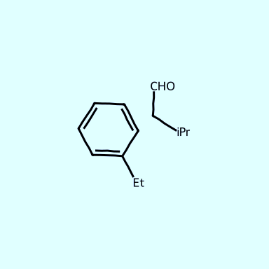 CC(C)CC=O.CCc1ccccc1